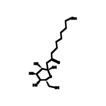 CCCCCCCCCCCCCCCCCC(=O)C[C@@]1(O)O[C@H](CO)[C@@H](O)[C@H](O)[C@@H]1O